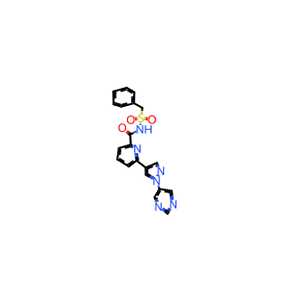 O=C(NS(=O)(=O)Cc1ccccc1)c1cccc(-c2cnn(-c3cncnc3)c2)n1